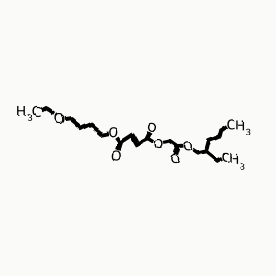 CCCCC(CC)COC(=O)COC(=O)/C=C/C(=O)OCCCCOCC